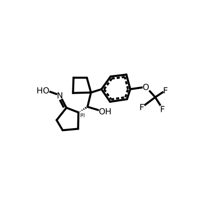 ON=C1CCC[C@H]1C(O)C1(c2ccc(OC(F)(F)F)cc2)CCC1